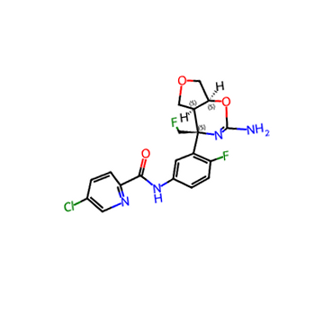 NC1=N[C@](CF)(c2cc(NC(=O)c3ccc(Cl)cn3)ccc2F)[C@H]2COC[C@H]2O1